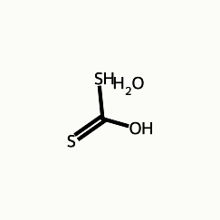 O.OC(=S)S